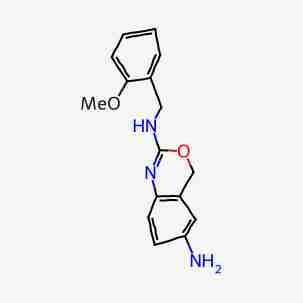 COc1ccccc1CNC1=Nc2ccc(N)cc2CO1